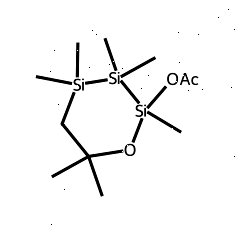 CC(=O)O[Si]1(C)OC(C)(C)C[Si](C)(C)[Si]1(C)C